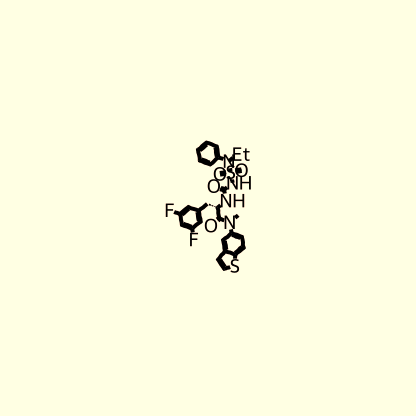 CCN(c1ccccc1)S(=O)(=O)NC(=O)N[C@@H](Cc1cc(F)cc(F)c1)C(=O)N(C)c1ccc2sccc2c1